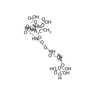 CC(C)C(=O)N[C@@H](CCC(=O)O)C(=O)N[C@@H](CCC(=O)O)C(=O)N[C@@H](CCCCNC(=O)COCCOCCNC(=O)CCc1cn(CCO[C@@H]2OC(C(=O)O)[C@@H](O)C(O)C2O)nn1)C(N)=O